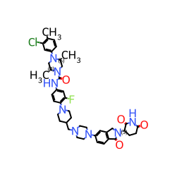 Cc1ccc(N2C[C@@H](C)N(C(=O)Nc3ccc(N4CCC(CN5CCN(c6ccc7c(c6)CN([C@H]6CCC(=O)NC6=O)C7=O)CC5)CC4)c(F)c3)C[C@@H]2C)cc1Cl